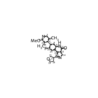 COc1ncc(C)c(-c2cc3[nH]c(=O)c4cnn(C5CCOC5)c4c3cc2F)c1C